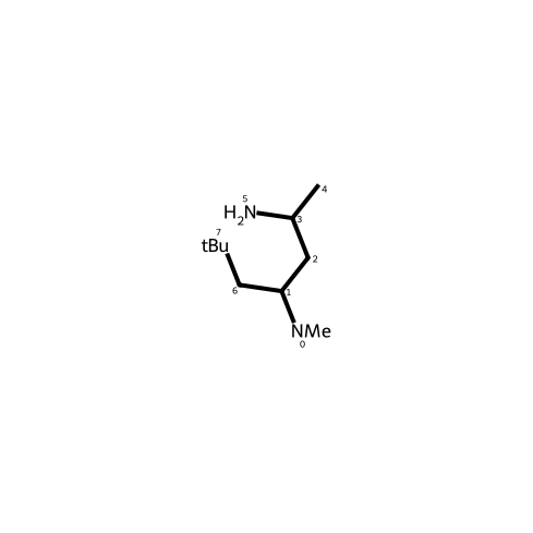 CNC(CC(C)N)CC(C)(C)C